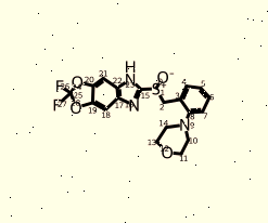 [O-][S+](Cc1ccccc1N1CCOCC1)c1nc2cc3c(cc2[nH]1)OC(F)(F)O3